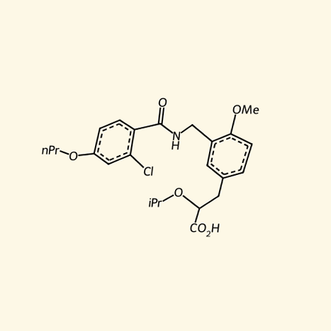 CCCOc1ccc(C(=O)NCc2cc(CC(OC(C)C)C(=O)O)ccc2OC)c(Cl)c1